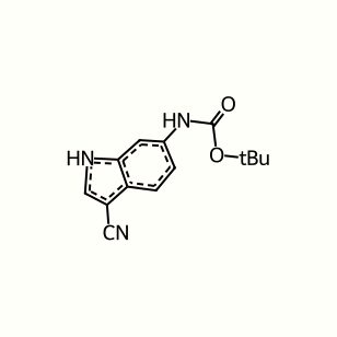 CC(C)(C)OC(=O)Nc1ccc2c(C#N)c[nH]c2c1